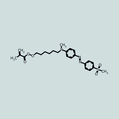 C=C(C)C(=O)OOCCCCCCN(C)c1ccc(N=Nc2ccc(S(C)(=O)=O)cc2)cc1